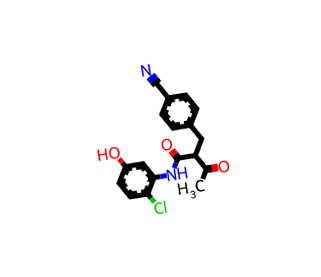 CC(=O)C(Cc1ccc(C#N)cc1)C(=O)Nc1cc(O)ccc1Cl